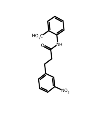 O=C(CCc1cccc([N+](=O)[O-])c1)Nc1ccccc1C(=O)O